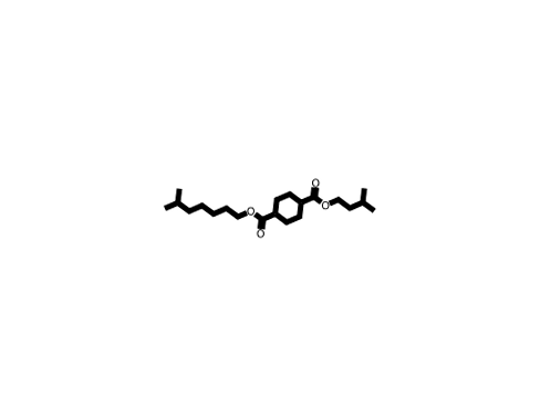 CC(C)CCCCCOC(=O)C1CCC(C(=O)OCCC(C)C)CC1